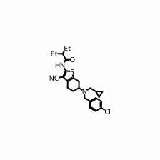 CCC(CC)C(=O)Nc1sc2c(c1C#N)CCC(N(Cc1ccc(Cl)cc1)CC1CC1)C2